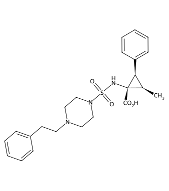 C[C@@H]1[C@H](c2ccccc2)[C@]1(NS(=O)(=O)N1CCN(CCc2ccccc2)CC1)C(=O)O